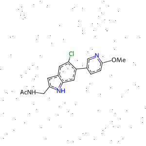 COc1ccc(-c2cc3[nH]c(CNC(C)=O)cc3cc2Cl)cn1